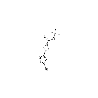 CC(C)(C)OC(=O)N1CC(c2nc(Br)cs2)C1